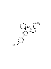 COc1ccc(C2=NN3C(C2)c2cccc(OC)c2OC32CCCCC2)cc1